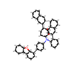 c1ccc(N(c2ccc(-c3ccc4ccccc4c3)cc2)c2ccc(-c3cccc4c3oc3ccccc34)cc2)c(-c2ccc3ccccc3c2)c1